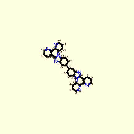 c1cnc2c(c1)c1nc3cc(-c4ccc5c(c4)nc4c6cccnc6c6ncccc6n54)ccc3n1c1cccnc21